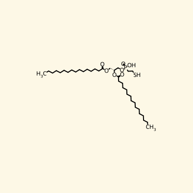 CCCCCCCCCCCCCCCC(=O)OC[C@H](COP(=O)(O)CCS)OC(=O)CCCCCCCCCCCCCCC